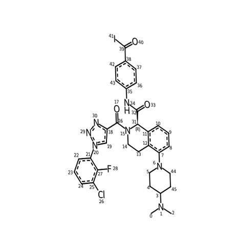 CN(C)C1CCN(c2cccc3c2CCN(C(=O)c2cn(-c4cccc(Cl)c4F)nn2)[C@H]3C(=O)Nc2ccc(C(=O)I)cc2)CC1